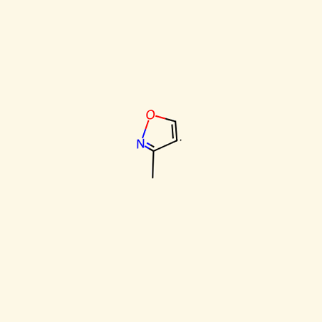 Cc1[c]con1